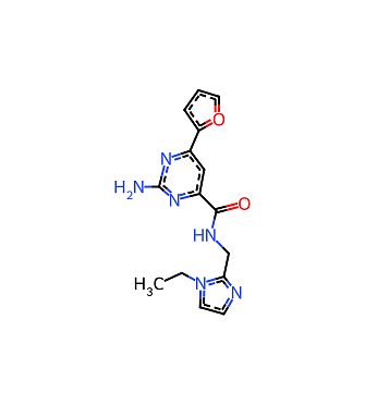 CCn1ccnc1CNC(=O)c1cc(-c2ccco2)nc(N)n1